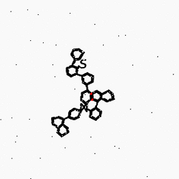 c1cc(-c2ccc(N(c3ccc(-c4cccc5ccccc45)cc3)c3ccccc3-c3cccc4ccccc34)cc2)cc(-c2cccc3c2sc2ccccc23)c1